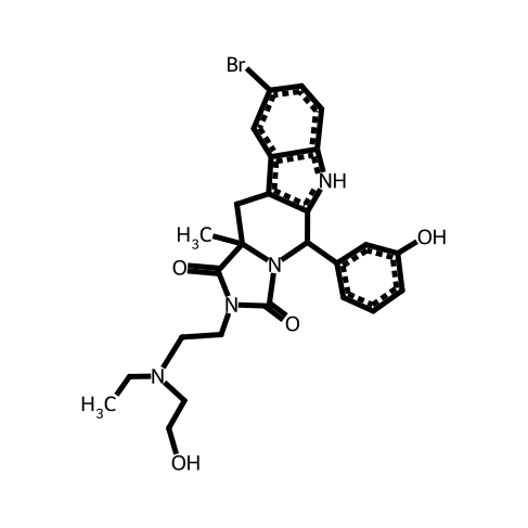 CCN(CCO)CCN1C(=O)N2C(c3cccc(O)c3)c3[nH]c4ccc(Br)cc4c3CC2(C)C1=O